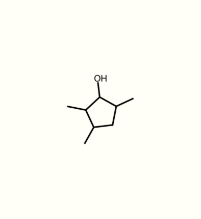 CC1CC(C)C(O)C1C